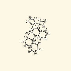 C1=CC(C2(c3cc4c(c5ccccc35)-c3c(ccc5ccccc35)C4)CCC2)C=C1